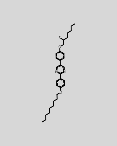 CCCCCCCCCOc1ccc(-c2ncc(-c3ccc(OCC(F)CCCCC)cc3)cn2)cc1